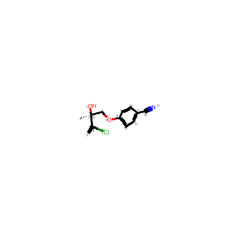 C=C(Cl)[C@@](C)(O)COc1ccc(C#N)cc1